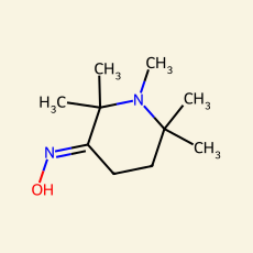 CN1C(C)(C)CCC(=NO)C1(C)C